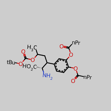 CCCC(=O)Oc1ccc(C(CC(C)OC(=O)OC(C)(C)C)[C@H](N)C(=O)O)cc1OC(=O)CCC